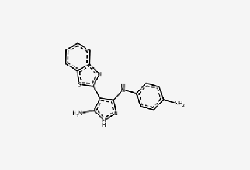 Nc1ccc(Nc2n[nH]c(N)c2-c2nc3ccccc3s2)cc1